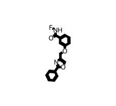 O=C(NF)c1cccc(OCc2coc(-c3ccccc3)n2)c1